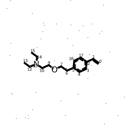 C=Cc1ccc(CCOCCN(CC)CC)cc1